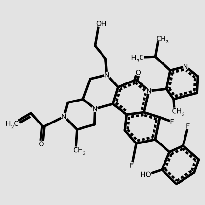 C=CC(=O)N1CC2CN(CCO)c3c(c4cc(F)c(-c5c(O)cccc5F)c(F)c4n(-c4c(C)ccnc4C(C)C)c3=O)N2CC1C